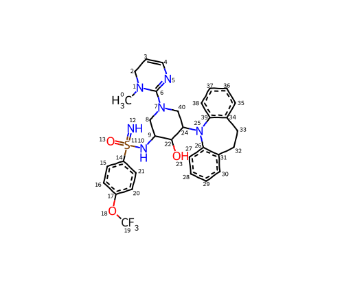 CN1CC=CN=C1N1CC(NS(=N)(=O)c2ccc(OC(F)(F)F)cc2)C(O)C(N2c3ccccc3CCc3ccccc32)C1